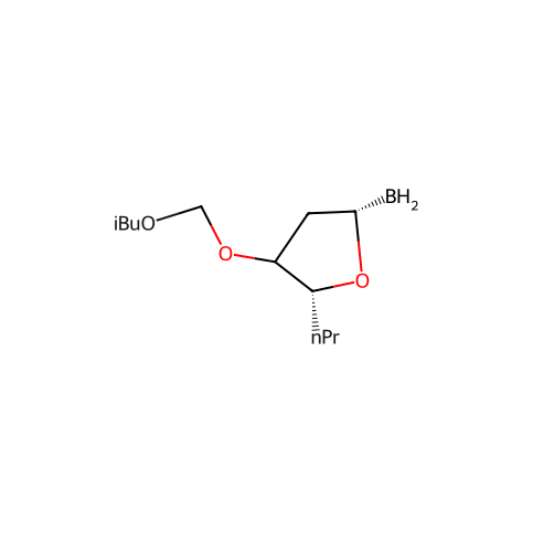 B[C@H]1CC(OCOCC(C)C)[C@@H](CCC)O1